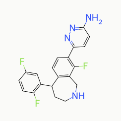 Nc1ccc(-c2ccc3c(c2F)CNCCC3c2cc(F)ccc2F)nn1